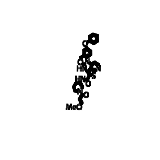 COCCC(=O)N1CCC[C@@H](NC(=O)c2sc3nccc4c3c2NC(=O)N4c2ccc(Oc3ccccc3)cc2C)C1